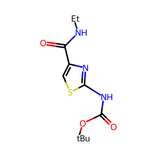 CCNC(=O)c1csc(NC(=O)OC(C)(C)C)n1